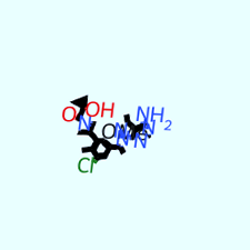 COc1c(C(C)n2nc(C)c3c(N)ncnc32)cc(Cl)c(C)c1C1CN(C(=O)C2(O)CC2)C1